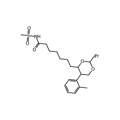 Cc1ccccc1C1COC(C(C)C)OC1CCCCCCC(=O)NS(C)(=O)=O